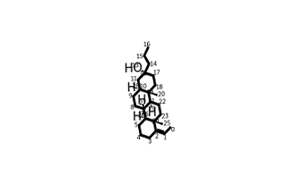 C/C=C1/CCC[C@H]2[C@@H]3CC[C@H]4C[C@@](O)(CCC)CC[C@]4(C)[C@H]3CC[C@]12C